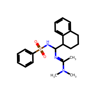 CC(=NC(NS(=O)(=O)c1ccccc1)C1CCCc2ccccc21)N(C)C